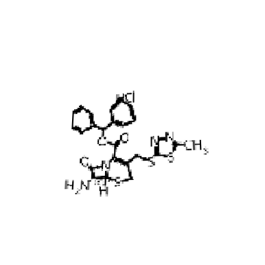 Cc1nnc(SCC2=C(C(=O)OC(c3ccccc3)c3ccccc3)N3C(=O)[C@@H](N)[C@H]3SC2)s1.Cl